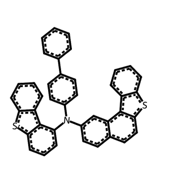 c1ccc(-c2ccc(N(c3ccc4ccc5sc6ccccc6c5c4c3)c3cccc4sc5ccccc5c34)cc2)cc1